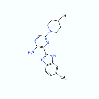 Cc1ccc2nc(-c3nc(N4CCC(C#N)CC4)cnc3N)[nH]c2c1